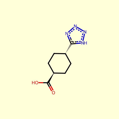 O=C(O)[C@H]1CC[C@H](c2nnn[nH]2)CC1